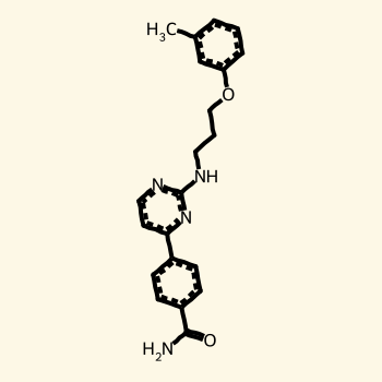 Cc1cccc(OCCCNc2nccc(-c3ccc(C(N)=O)cc3)n2)c1